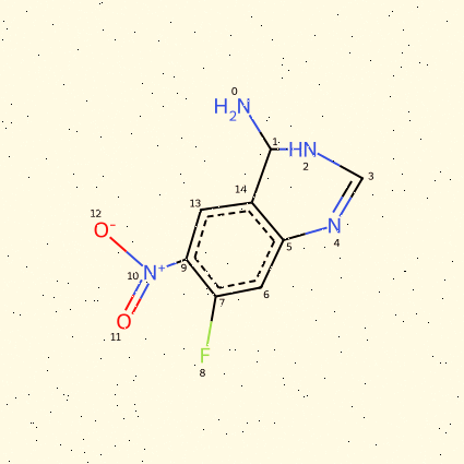 NC1NC=Nc2cc(F)c([N+](=O)[O-])cc21